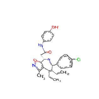 C=CC1=C(C=C)c2c(C)noc2[C@H](CC(=O)Nc2ccc(O)cc2)N=C1c1ccc(Cl)cc1